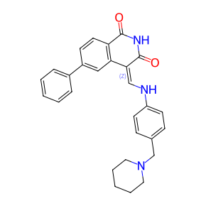 O=C1NC(=O)c2ccc(-c3ccccc3)cc2/C1=C/Nc1ccc(CN2CCCCC2)cc1